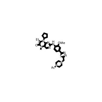 CC[C@@H]1C(=O)N(C)c2cnc(Nc3ccc(-c4nnc(CN5CCN(C(C)=O)CC5)s4)cc3OC)nc2N1C1CCCC1